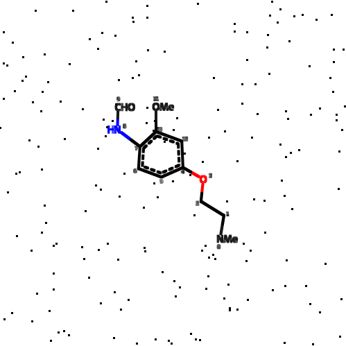 CNCCOc1ccc(NC=O)c(OC)c1